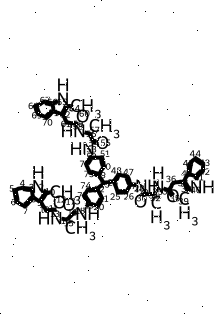 Cc1[nH]c2ccccc2c1CC(=O)NC(C)C(=O)Nc1ccc(C(c2ccc(NC(=O)C(C)NC(=O)Cc3c(C)[nH]c4ccccc34)cc2)c2ccc(NC(=O)C(C)NC(=O)Cc3c(C)[nH]c4ccccc34)cc2)cc1